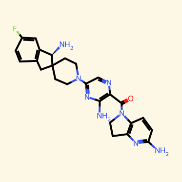 Nc1ccc2c(n1)CCN2C(=O)c1ncc(N2CCC3(CC2)Cc2ccc(F)cc2[C@H]3N)nc1N